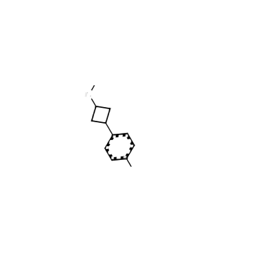 O=CNC1CC(c2ccc(Cl)cc2)C1